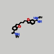 C=C(NC(C)C)c1ccc2cc(CCCc3cc4ccc(C(=N)NC(C)C)cc4o3)oc2c1